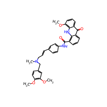 COc1ccc(CN(C)C/C=C/c2ccc(NC(=O)c3cccc4c(=O)c5cccc(OC)c5[nH]c34)cc2)cc1OC